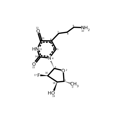 C[C@H]1O[C@@H](n2cc(CCCN)c(=O)[nH]c2=O)[C@H](F)[C@@H]1O